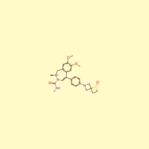 CNC(=O)N1C=C(c2ccc(N3CC4(CC[S+]4[O-])C3)cc2)c2cc(OC)c(OC)cc2C[C@@H]1C